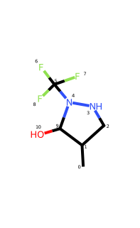 CC1CNN(C(F)(F)F)C1O